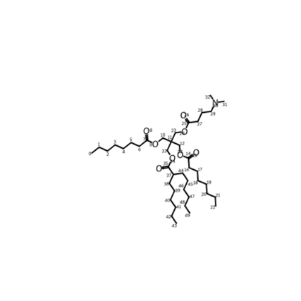 CCCCCCCC(=O)OCC(COC(=O)CCCCCCC)(COC(=O)CCCN(C)C)COC(=O)C(CCCCCC)CCCCCC